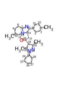 Cc1ccc(-c2nc3ccc(C)cn3c2CC(=O)c2c(C)nn(-c3ccccc3)c2C)cc1